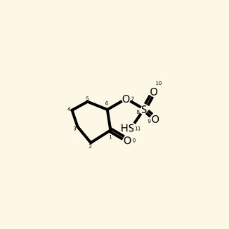 O=C1CCCCC1OS(=O)(=O)S